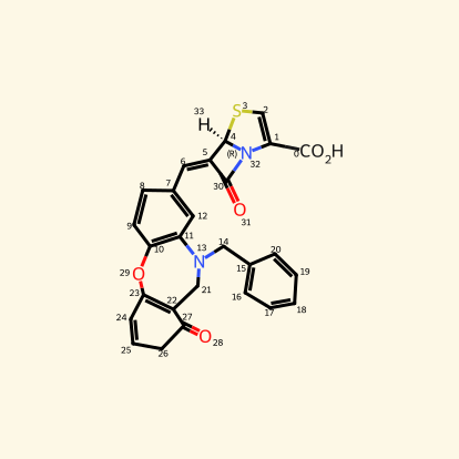 O=C(O)C1=CS[C@@H]2C(=Cc3ccc4c(c3)N(Cc3ccccc3)CC3=C(C=CCC3=O)O4)C(=O)N12